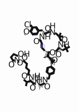 COc1ccc(C[C@H]2NC(=O)/C=C/C[C@@H]([C@H](C)[C@H]3O[C@@H]3c3ccc(CNC(=O)[C@H](C)NC(=O)[C@@H](NC(=O)CCCC(=O)ON4C(=O)CCC4O)C(C)C)cc3)OC(=O)[C@H](CC(C)(C)C)NC(=O)C(C)(C)CNC2=O)cc1Cl